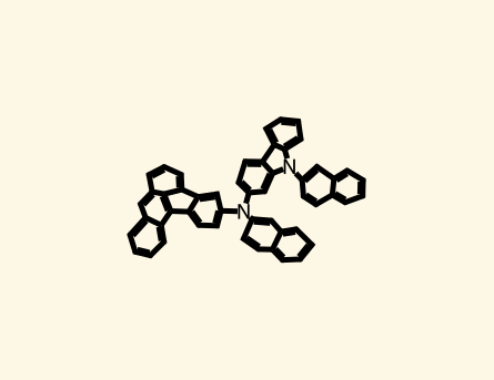 c1ccc2cc(N(c3ccc4c(c3)-c3cccc5cc6ccccc6c-4c35)c3ccc4c5ccccc5n(-c5ccc6ccccc6c5)c4c3)ccc2c1